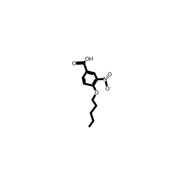 CCCCCOc1ccc(C(=O)O)cc1[N+](=O)[O-]